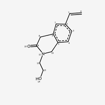 C=Cc1ccc2c(c1)CC(=O)N(CCO)C2